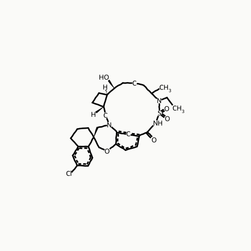 CCN1C(C)CCC[C@H](O)[C@@H]2CC[C@H]2CN2C[C@@]3(CCCc4cc(Cl)ccc43)COc3ccc(cc32)C(=O)NS1(=O)=O